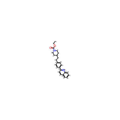 CCOC(=O)N1CCC(CCc2ccc(-c3ccc4ccccc4n3)cc2)CC1